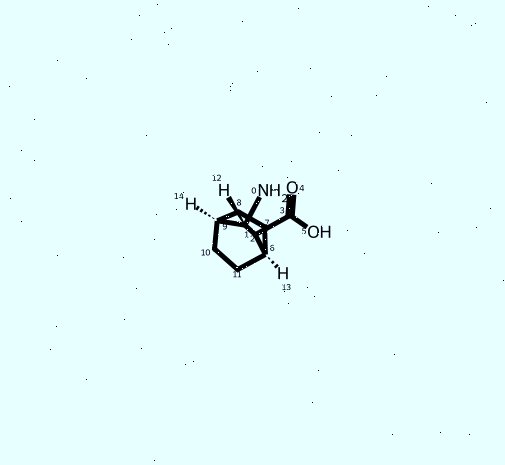 N[C@@H]1C(C(=O)O)[C@H]2CC[C@@H]1CC2